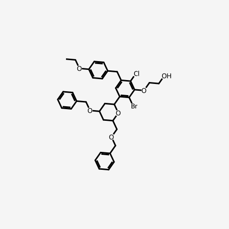 CCOc1ccc(Cc2cc(C3CC(OCc4ccccc4)CC(COCc4ccccc4)O3)c(Br)c(OCCO)c2Cl)cc1